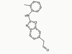 Cc1ccccc1Nc1nc2ccc(CC=O)cc2o1